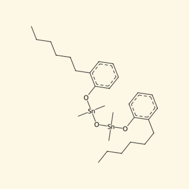 CCCCCCc1ccccc1[O][Sn]([CH3])([CH3])[O][Sn]([CH3])([CH3])[O]c1ccccc1CCCCCC